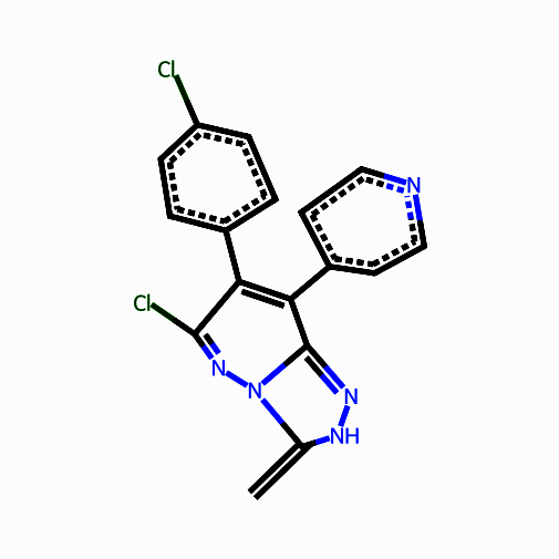 C=C1NN=C2C(c3ccncc3)=C(c3ccc(Cl)cc3)C(Cl)=NN12